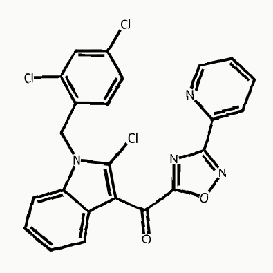 O=C(c1nc(-c2ccccn2)no1)c1c(Cl)n(Cc2ccc(Cl)cc2Cl)c2ccccc12